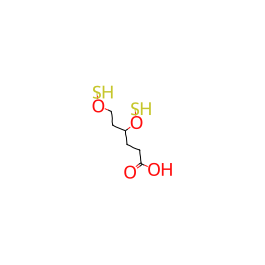 O=C(O)CCC(CCOS)OS